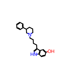 Oc1ccc2[nH]cc(CCCCN3CCCC(c4ccccc4)C3)c2c1